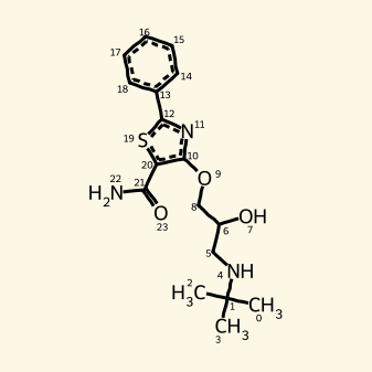 CC(C)(C)NCC(O)COc1nc(-c2ccccc2)sc1C(N)=O